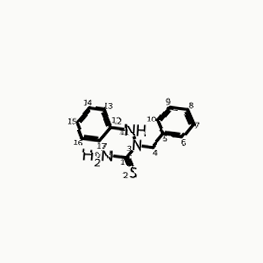 NC(=S)N(Cc1ccccc1)Nc1ccccc1